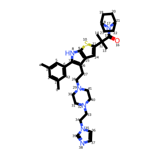 Cc1cc(C)cc(-c2[nH]c3sc(C(C)(C)C(=O)N4C5CCC4CC5)cc3c2CCN2CCN(CCn3ccnc3)CC2)c1